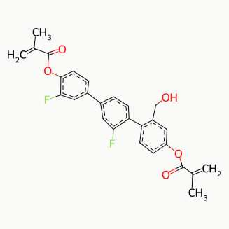 C=C(C)C(=O)Oc1ccc(-c2ccc(-c3ccc(OC(=O)C(=C)C)c(F)c3)cc2F)c(CO)c1